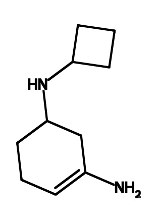 NC1=CCCC(NC2CCC2)C1